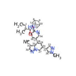 C=CC(C)C(=O)N1CC2CC(C1)C2Nc1ccc(-c2cc(-c3cnn(C)c3)cn3ncc(C#N)c23)cn1